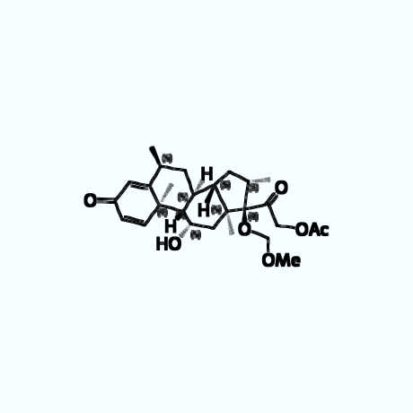 COCO[C@]1(C(=O)COC(C)=O)[C@@H](C)C[C@H]2[C@@H]3C[C@H](C)C4=CC(=O)C=C[C@]4(C)[C@H]3[C@@H](O)C[C@@]21C